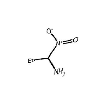 CCC(N)[N+](=O)[O-]